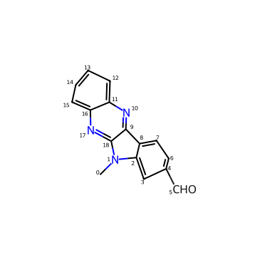 Cn1c2cc(C=O)ccc2c2nc3ccccc3nc21